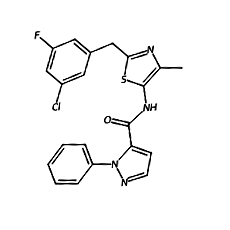 Cc1nc(Cc2cc(F)cc(Cl)c2)sc1NC(=O)c1ccnn1-c1ccccc1